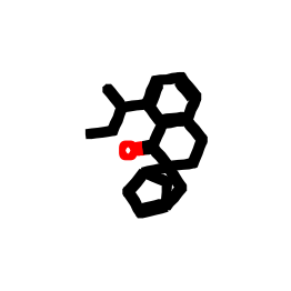 CCC(C)c1cccc2c1C(=O)C1(CC2)CC2=CCC1C2